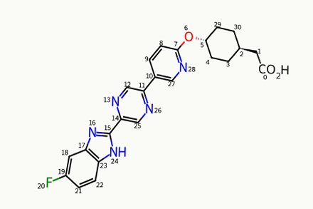 O=C(O)C[C@H]1CC[C@H](Oc2ccc(-c3cnc(-c4nc5cc(F)ccc5[nH]4)cn3)cn2)CC1